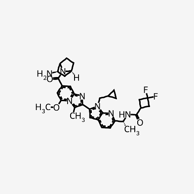 COc1cc(C(=O)N2C3CC[C@H]2C[C@H]3N)cc2nc(-c3cc4ccc([C@@H](C)NC(=O)C5CC(F)(F)C5)nc4n3CC3CC3)c(C)n12